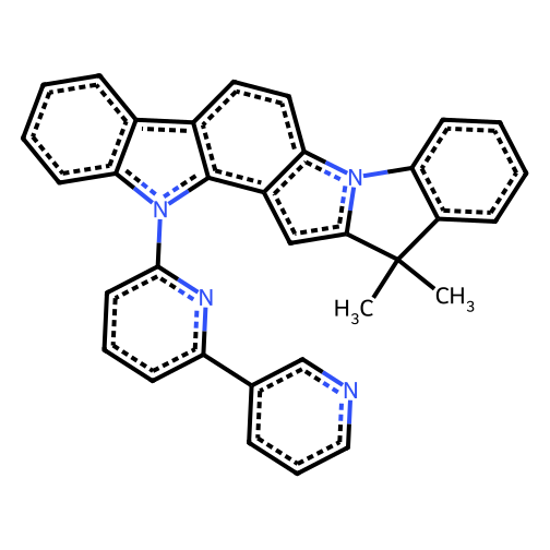 CC1(C)c2ccccc2-n2c1cc1c2ccc2c3ccccc3n(-c3cccc(-c4cccnc4)n3)c21